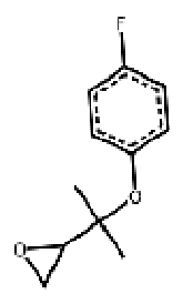 CC(C)(Oc1ccc(F)cc1)C1CO1